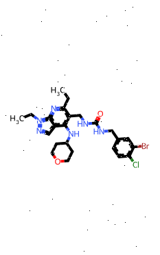 CCc1nc2c(cnn2CC)c(NC2CCOCC2)c1CNC(=O)NCc1ccc(Cl)c(Br)c1